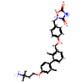 Cc1cc(OCCC(C)(C)N)ccc1-c1cccc(COc2ccc(Cn3oc(=O)[nH]c3=O)cc2)c1C